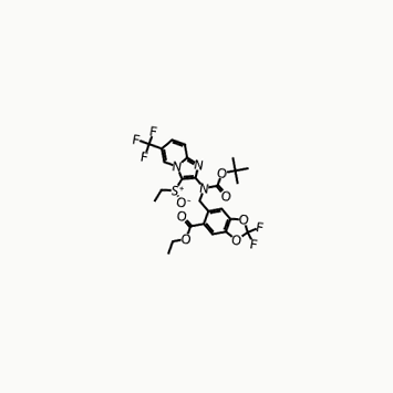 CCOC(=O)c1cc2c(cc1CN(C(=O)OC(C)(C)C)c1nc3ccc(C(F)(F)F)cn3c1[S+]([O-])CC)OC(F)(F)O2